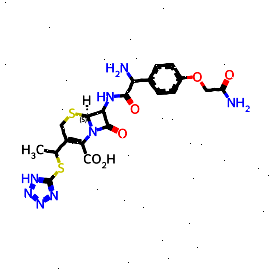 CC(Sc1nnn[nH]1)C1=C(C(=O)O)N2C(=O)C(NC(=O)C(N)c3ccc(OCC(N)=O)cc3)[C@@H]2SC1